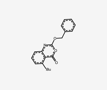 CCC(C)c1cccc2nc(OCc3ccccc3)oc(=O)c12